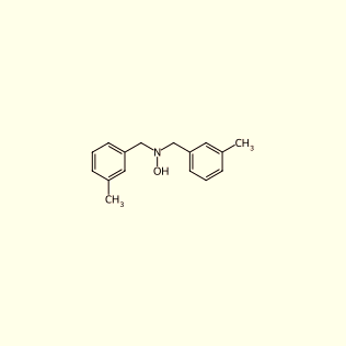 Cc1cccc(CN(O)Cc2cccc(C)c2)c1